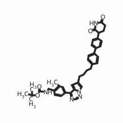 Cc1cc(-c2ncnn3cc(CCCCc4ccc(-c5ccc(C6CCC(=O)NC6=O)cc5)cc4)cc23)ccc1CNC(=O)OC(C)(C)C